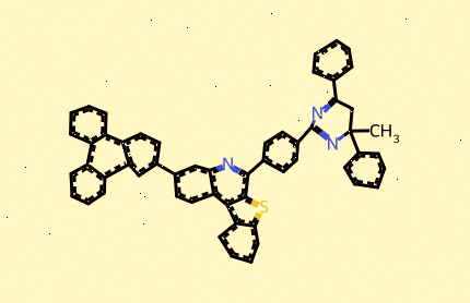 CC1(c2ccccc2)CC(c2ccccc2)=NC(c2ccc(-c3nc4cc(-c5ccc6c7ccccc7c7ccccc7c6c5)ccc4c4c3sc3ccccc34)cc2)=N1